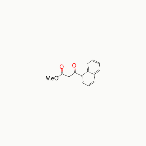 COC(=O)CC(=O)c1cccc2ccccc12